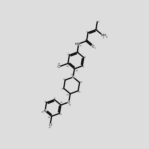 C/C(N)=C/C(=O)Nc1ccc(N2CCC(Oc3ccnc(Cl)c3)CC2)c(Cl)c1